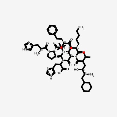 CC[C@H](C)[C@@H](C(=O)N(C(=O)OC(C)(C)C)C(Cc1c[nH]cn1)C(=O)O)N(C(=O)C(C[C@H](O)[C@@H](N)CC1CCCCC1)C(C)C)C(=O)[C@H](CCCCN)NC(=O)[C@H](CCc1ccccc1)NC(=O)[C@@H]1CCCN1C(=O)[C@@H](N)Cc1c[nH]cn1